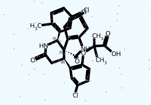 Cc1ccc(Cl)cc1[C@@H]1NC(=O)C[C@H](c2cc(Cl)ccc2OC(C)(C)C(=O)O)[C@@]12C(=O)Nc1cc(Cl)ccc12